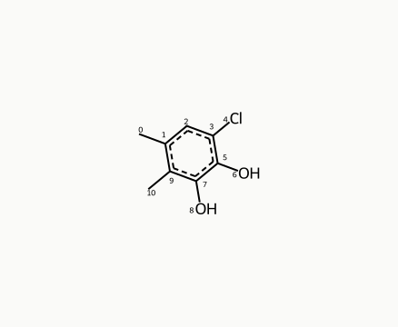 Cc1cc(Cl)c(O)c(O)c1C